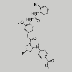 COC(=O)c1ccc(N(C)C2CC(F)CN2C(=O)Cc2ccc(NC(=O)Nc3ccccc3Br)c(OC)c2)cc1